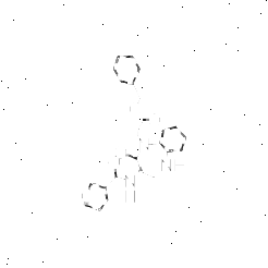 O=C(CN1C(=O)[C@@H](NC(=O)c2ccccc2)CNc2ccccc21)OCc1ccccc1